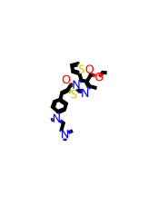 CCOC(=O)C1=C(C)N=c2s/c(=C\c3ccc(N(C)CCN(C)C)cc3)c(=O)n2C1c1cccs1